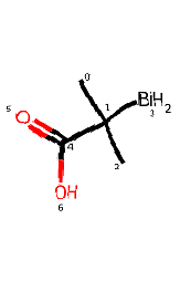 C[C](C)([BiH2])C(=O)O